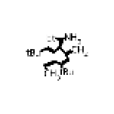 C=C(/C=C(\C=C/C)C(C)(C)C)/C(C=CC(C)(C)C)=C(\N)CC